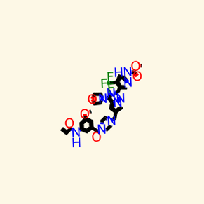 C=CC(=O)Nc1cc(OC)cc(C(=O)N2CCN(Cc3cc4c(N5CCOCC5)nc(-c5cnc(NC(=O)OC)cc5C(F)(F)F)nn4c3)CC2)c1